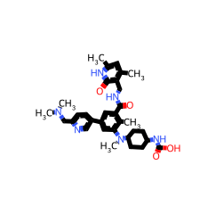 Cc1cc(C)c(CNC(=O)c2cc(-c3ccc(CN(C)C)nc3)cc(N(C)C3CCC(NC(=O)O)CC3)c2C)c(=O)[nH]1